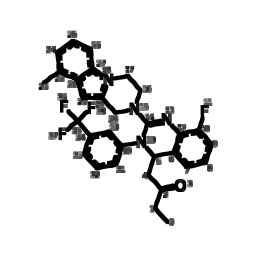 CCC(=O)CC1c2cccc(F)c2N=C(N2CCn3c(cc4c(C)cccc43)C2)N1c1cccc(C(F)(F)F)c1